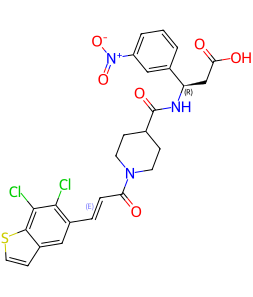 O=C(O)C[C@@H](NC(=O)C1CCN(C(=O)/C=C/c2cc3ccsc3c(Cl)c2Cl)CC1)c1cccc([N+](=O)[O-])c1